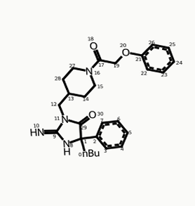 CCCCC1(c2ccccc2)NC(=N)N(CC2CCN(C(=O)COc3ccccc3)CC2)C1=O